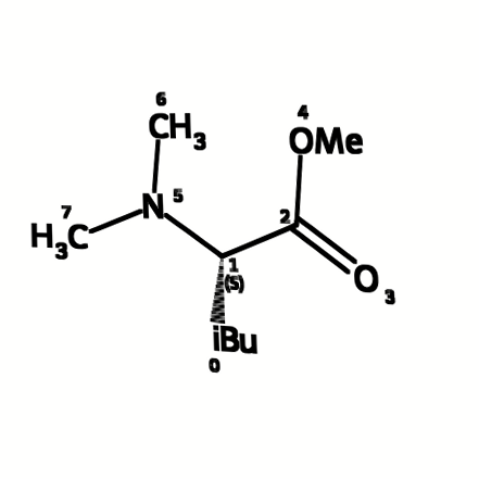 CCC(C)[C@@H](C(=O)OC)N(C)C